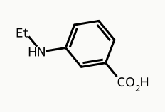 CCNc1cccc(C(=O)O)c1